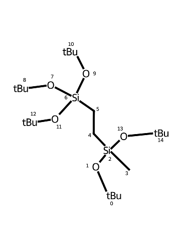 CC(C)(C)O[Si](C)(CC[Si](OC(C)(C)C)(OC(C)(C)C)OC(C)(C)C)OC(C)(C)C